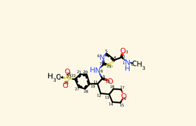 CNC(=O)c1cnc(NC(=O)C(CC2CCOCC2)c2ccc(S(C)(=O)=O)cc2)s1